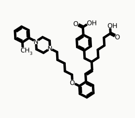 Cc1ccccc1N1CCN(CCCCCOc2ccccc2/C=C/C(CCCCC(=O)O)Cc2ccc(C(=O)O)cc2)CC1